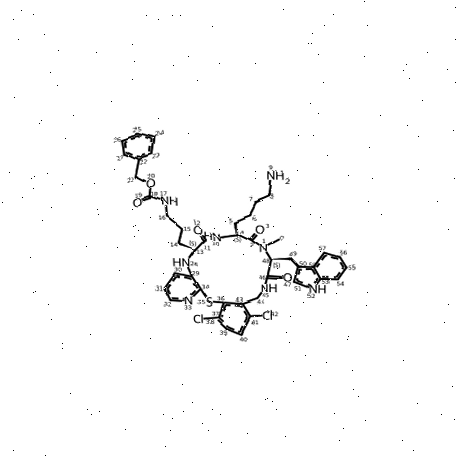 CN1C(=O)[C@H](CCCCN)NC(=O)[C@H](CCCNC(=O)OCc2ccccc2)Nc2cccnc2Sc2c(Cl)ccc(Cl)c2CNC(=O)[C@@H]1Cc1c[nH]c2ccccc12